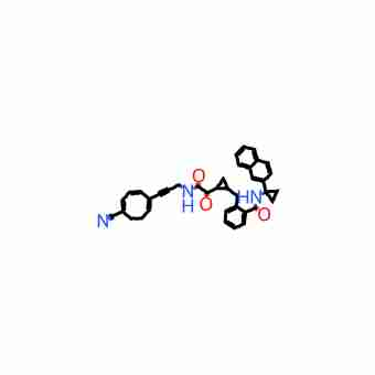 N#C/C1=C/C=C\C(C#CCNC(=O)C(=O)C2CC2Cc2ccccc2C(=O)NC2(c3ccc4ccccc4c3)CC2)=C/CC1